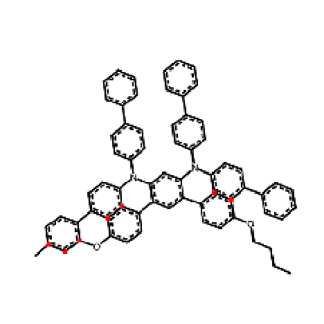 CCCCOc1ccc(-c2cc(-c3ccc(OCCCC)cc3)c(N(c3ccc(-c4ccccc4)cc3)c3ccc(-c4ccccc4)cc3)cc2N(c2ccc(-c3ccccc3)cc2)c2ccc(-c3ccccc3)cc2)cc1